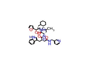 CC(C)C[C@H](NC(=O)[C@@H](CC(=O)NCc1cccnc1)Cc1c[nH]c2ccccc12)C(=O)N[C@@H](CC1CCCCC1)[C@@H](O)c1ccco1